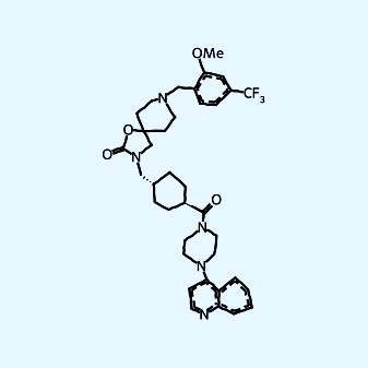 COc1cc(C(F)(F)F)ccc1CN1CCC2(CC1)CN(C[C@H]1CC[C@H](C(=O)N3CCN(c4ccnc5ccccc45)CC3)CC1)C(=O)O2